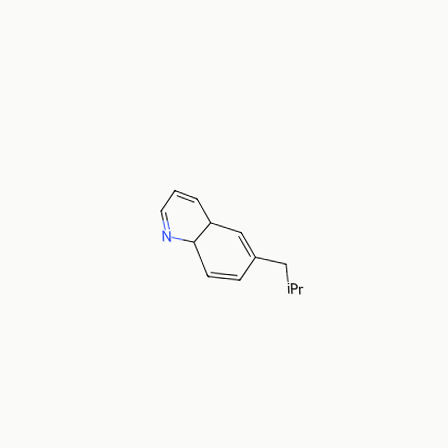 CC(C)CC1=CC2C=CC=NC2C=C1